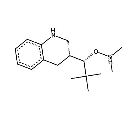 C[SiH](C)O[C@@H]([C@H]1CNc2ccccc2C1)C(C)(C)C